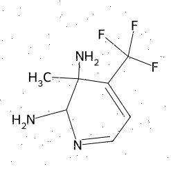 CC1(N)C(C(F)(F)F)=CC=NC1N